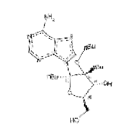 CCCCO[C@]1(CCCC)[C@H](O)[C@@H](CO)O[C@@]1(CCCC)n1cnc2c(N)ncnc21